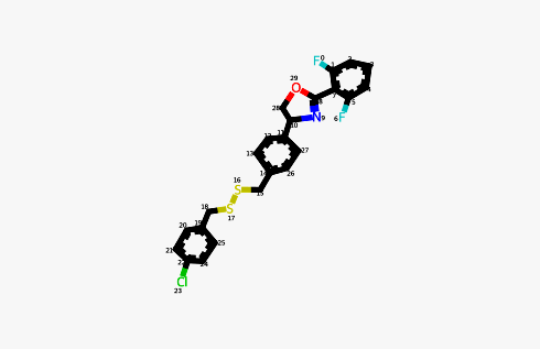 Fc1cccc(F)c1C1=NC(c2ccc(CSSCc3ccc(Cl)cc3)cc2)CO1